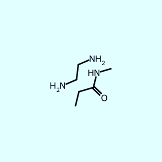 CCC(=O)NC.NCCN